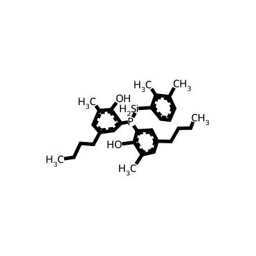 CCCCc1cc(C)c(O)c(P([SiH2]c2cccc(C)c2C)c2cc(CCCC)cc(C)c2O)c1